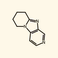 c1cc2c(cn1)nc1n2CCCC1